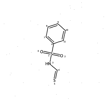 O=S(=O)(N[C]=S)c1ccccc1